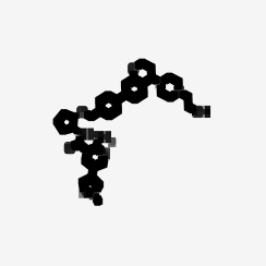 Cn1cc(-c2cnc(N)c(C(=O)N[C@H]3CCC[C@@H]3OCc3ccc(-c4ccc5c(c4)OCCC5N4CCN(CCO)CC4)cc3)c2)cn1